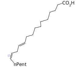 CCCCC/C=C\CC=CCCCCCCCCCC(=O)O